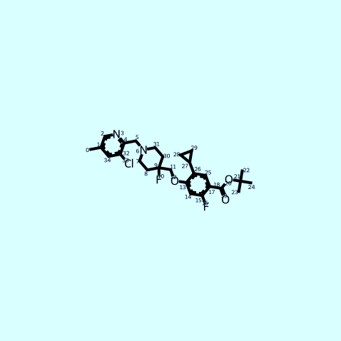 Cc1cnc(CN2CCC(F)(COc3cc(F)c(C(=O)OC(C)(C)C)cc3C3CC3)CC2)c(Cl)c1